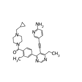 CCc1ncnc(-c2ccc(C(=O)N3CCN(CC4CC4)CC3)c(C)c2)c1C#Cc1ccc(N)nc1